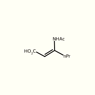 CCCC(=CC(=O)O)NC(C)=O